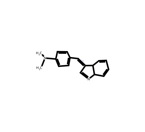 CN(C)c1ccc(/C=C2\C=NC3C=CC=CC23)cc1